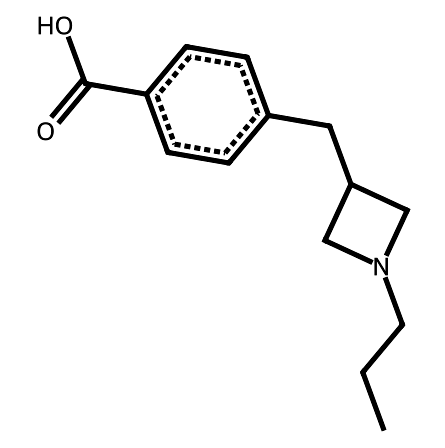 CCCN1CC(Cc2ccc(C(=O)O)cc2)C1